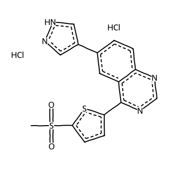 CS(=O)(=O)c1ccc(-c2ncnc3ccc(-c4cn[nH]c4)cc23)s1.Cl.Cl